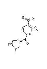 COc1cc(C(=O)N2CCNC(C)C2)ccc1[N+](=O)[O-]